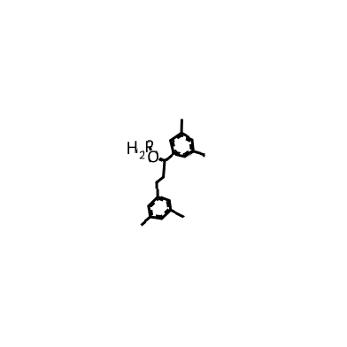 Cc1cc(C)cc(CCC(OP)c2cc(C)cc(C)c2)c1